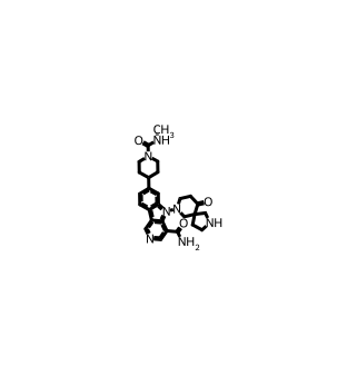 CNC(=O)N1CCC(c2ccc3c4cncc(C(N)=O)c4n(N4CCC(=O)C5(CCNC5)C4)c3c2)CC1